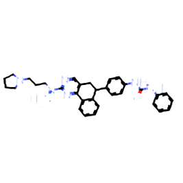 NN(CCCN1CCCC1)c1ncc2c(n1)-c1ccccc1C(c1ccc(NC(=O)Nc3ccccc3)cc1)C2